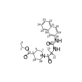 CCOC(=O)C1CCN(C(=O)C(C)(C)NC(=O)Nc2ccc3ccccc3c2)CC1